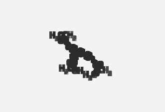 C=C(C)C(=O)OCCOc1ccc(-c2ccc(-c3ccc(CCCOC(=O)C(=C)COC)cc3)cc2)c(C2CCC(OC(=O)C(=C)CO)CC2)c1